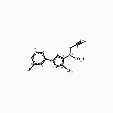 C#CCN(C(=O)O)c1cn(-c2cncc(F)c2)nc1C